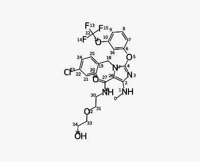 CNc1nc(Oc2cccc(OC(F)(F)F)c2)n(Cc2ccc(Cl)cc2)c1C(=O)NCCOCCO